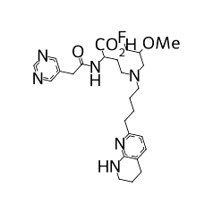 COC(CF)CN(CCCCc1ccc2c(n1)NCCC2)CCC(NC(=O)Cc1cncnc1)C(=O)O